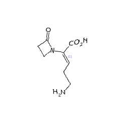 NCC/C=C(/C(=O)O)N1CCC1=O